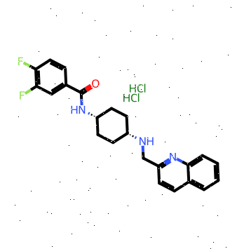 Cl.Cl.O=C(N[C@H]1CC[C@@H](NCc2ccc3ccccc3n2)CC1)c1ccc(F)c(F)c1